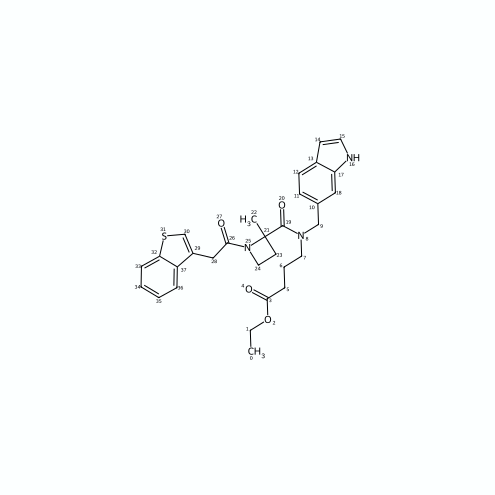 CCOC(=O)CCCN(Cc1ccc2cc[nH]c2c1)C(=O)C1(C)CCN1C(=O)Cc1csc2ccccc12